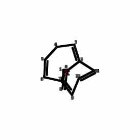 C=NC1=C/C\C=C/C(CC)=C/C=C/1